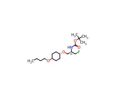 CCCCO[C@H]1CC[C@H](OC[C@H](CF)NC(=O)OC(C)(C)C)CC1